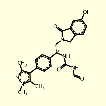 Cc1nn(C)c(C)c1-c1ccc([C@H](CN2Cc3ccc(O)cc3C2=O)NC(=O)NC=O)cc1